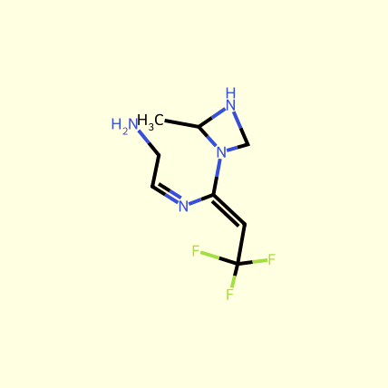 CC1NCN1C(=C/C(F)(F)F)/N=C\CN